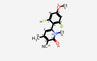 CCOc1cc(F)c(-c2cc(C)c(C#N)c(=O)n2CC)c(F)c1